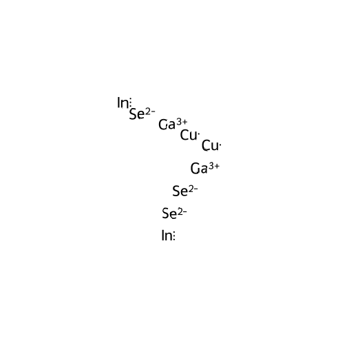 [Cu].[Cu].[Ga+3].[Ga+3].[In].[In].[Se-2].[Se-2].[Se-2]